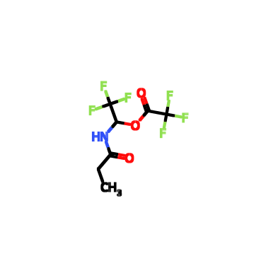 CCC(=O)NC(OC(=O)C(F)(F)F)C(F)(F)F